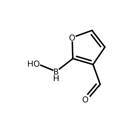 O=Cc1ccoc1BO